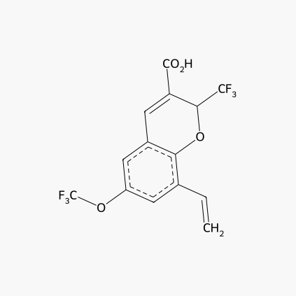 C=Cc1cc(OC(F)(F)F)cc2c1OC(C(F)(F)F)C(C(=O)O)=C2